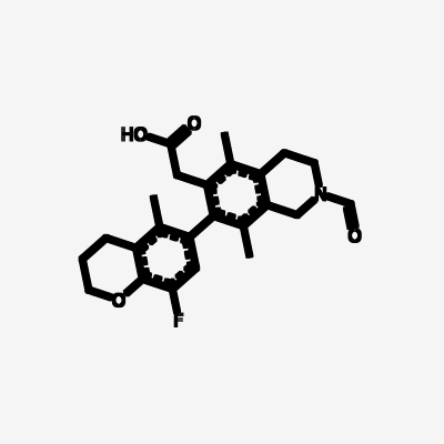 Cc1c(-c2c(C)c3c(c(C)c2CC(=O)O)CCN(C=O)C3)cc(F)c2c1CCCO2